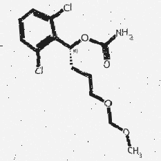 COCOCCC[C@@H](OC(N)=O)c1c(Cl)cccc1Cl